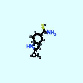 Cc1cc2cc(C(N)=S)ccc2[nH]1